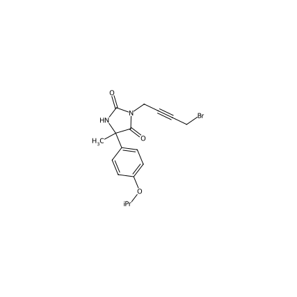 CC(C)Oc1ccc(C2(C)NC(=O)N(CC#CCBr)C2=O)cc1